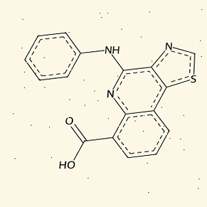 O=C(O)c1cccc2c1nc(Nc1ccccc1)c1ncsc12